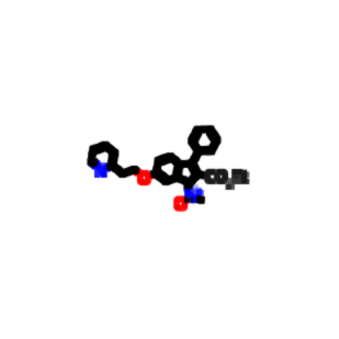 CCOC(=O)C1=C(c2ccccc2)c2ccc(OCCc3ccccn3)cc2/C1=[N+](/C)[O-]